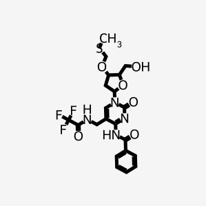 CSCOC1CC(n2cc(CNC(=O)C(F)(F)F)c(NC(=O)c3ccccc3)nc2=O)OC1CO